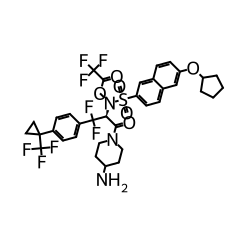 NC1CCN(C(=O)[C@H](N(OC(=O)C(F)(F)F)S(=O)(=O)c2ccc3cc(OC4CCCC4)ccc3c2)C(F)(F)c2ccc(C3(C(F)(F)F)CC3)cc2)CC1